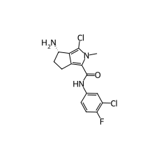 Cn1c(Cl)c2c(c1C(=O)Nc1ccc(F)c(Cl)c1)CC[C@@H]2N